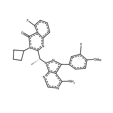 COc1ccc(-c2nn([C@H](C)c3nc4cccc(F)c4c(=O)n3C3CCC3)c3ncnc(N)c23)cc1F